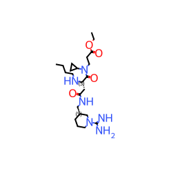 CCCCN[C@@H](CC(=O)NC[C@@H]1CCCN(C(=N)N)C1)C(=O)N(CCC(=O)OCC)C1CC1